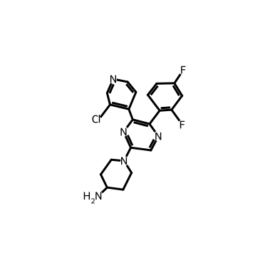 NC1CCN(c2cnc(-c3ccc(F)cc3F)c(-c3ccncc3Cl)n2)CC1